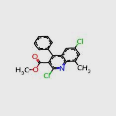 COC(=O)c1c(Cl)nc2c(C)cc(Cl)cc2c1-c1ccccc1